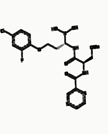 COC[C@@H](NC(=O)c1cnccn1)C(=O)N[C@H](CCOc1ccc(Cl)cc1F)B(O)O